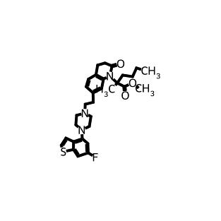 CCCCC(C)(C(=O)OC)N1C(=O)CCc2ccc(CCN3CCN(c4cc(F)cc5sccc45)CC3)cc21